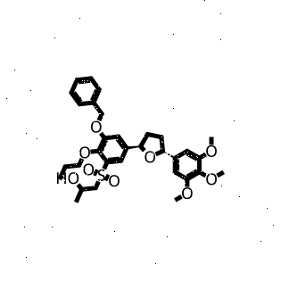 CCCOc1c(OCc2ccccc2)cc([C@H]2CC[C@H](c3cc(OC)c(OC)c(OC)c3)O2)cc1S(=O)(=O)CC(C)O